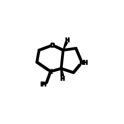 CC(C)N1CCO[C@H]2CNC[C@@H]21